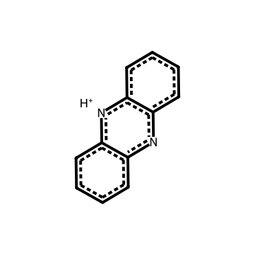 [H+].c1ccc2nc3ccccc3nc2c1